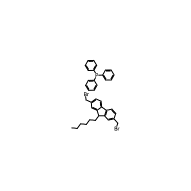 CCCCCCC1c2cc(CBr)ccc2-c2ccc(CBr)cc21.c1ccc(P(c2ccccc2)c2ccccc2)cc1